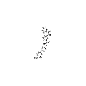 O=C(NCc1ccc(-c2ccc(O)c(Cl)c2)nc1)c1ccc2c(c1)NC(=O)c1ccccc1S2